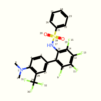 CN(C)c1ccc(-c2c(F)c(F)c(F)c(F)c2NS(=O)(=O)c2ccccc2)cc1C(F)(F)F